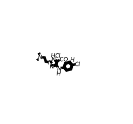 CN(C)CCn1nc(Nc2ccc(Cl)cc2)c(C(=O)O)n1.Cl